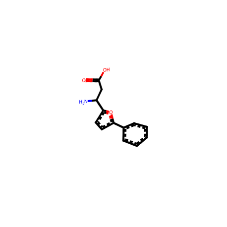 NC(CC(=O)O)c1ccc(-c2ccccc2)o1